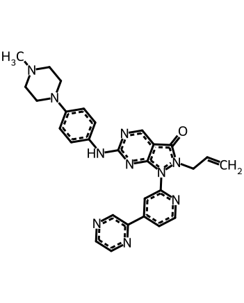 C=CCn1c(=O)c2cnc(Nc3ccc(N4CCN(C)CC4)cc3)nc2n1-c1cc(-c2cnccn2)ccn1